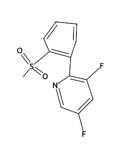 CS(=O)(=O)c1[c]cccc1-c1ncc(F)cc1F